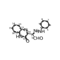 O=CC(=NNc1ccccc1)c1nc2ccccc2[nH]c1=O